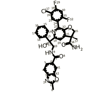 Cc1nc2ccc(C(=O)NC[C@@](O)(c3ccccc3)c3cc4c(c(-c5cc(Cl)c(F)cc5F)n3)OC[C@]4(C)C(N)=O)cc2o1